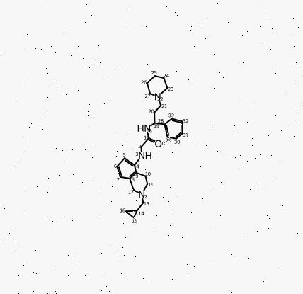 O=C(CNc1cccc2c1CCN(CC1CC1)C2)NC(CCN1CCCCC1)c1ccccc1